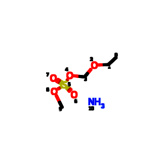 CCOCOS(=O)(=O)OC.N